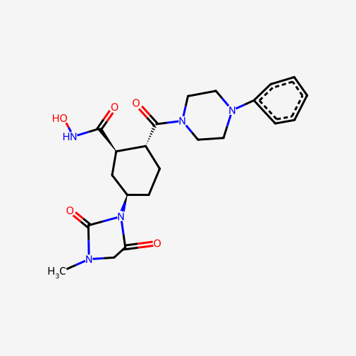 CN1CC(=O)N([C@@H]2CC[C@@H](C(=O)N3CCN(c4ccccc4)CC3)[C@H](C(=O)NO)C2)C1=O